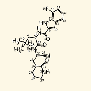 CC(C)(C)CC(NC(=O)c1cc2cccc(F)c2[nH]1)C(=O)NC(C#N)C[C@@H]1CCCNC1=O